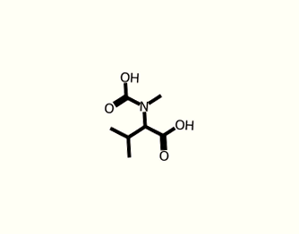 CC(C)C(C(=O)O)N(C)C(=O)O